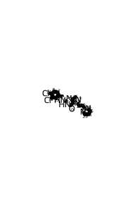 O=c1[nH]c(NCc2ccc(Cl)c(Cl)c2)nc2cnn(CCc3ncccn3)c12